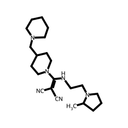 CC1CCCN1CCNC(=C(C#N)C#N)N1CCC(CN2CCCCC2)CC1